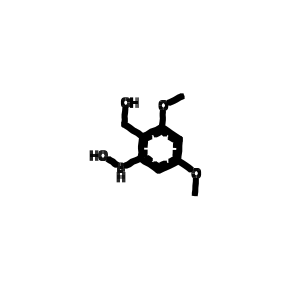 COc1cc(BO)c(CO)c(OC)c1